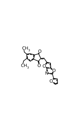 CCc1cc2c(cc1CC)C(=O)C(=Cc1cc3oc(-c4ccco4)nc3o1)C2=O